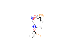 C=C(COc1ccc(C)c(P)c1)NCCCCc1nnc(Oc2ccc(C)c(P)c2)o1